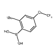 CC(C)(C)c1cc(OC(F)(F)F)ccc1B(O)O